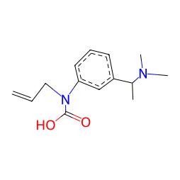 C=CCN(C(=O)O)c1cccc(C(C)N(C)C)c1